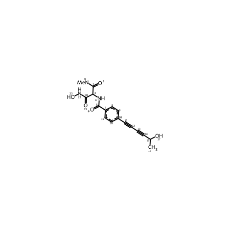 CNC(=O)C(NC(=O)c1ccc(C#CC#CC(C)O)cc1)C(=O)NO